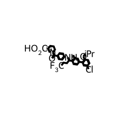 Cc1cc(-c2cc(Cl)ccc2OC(C)C)ccc1C(CCC(F)(F)F)Nc1ccc(C(=O)N2CCC[C@@H](C(=O)O)C2)cc1